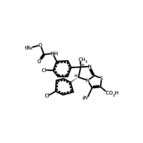 CC(C)C1=C(C(=O)O)SC2=N[C@@](C)(c3ccc(Cl)c(NC(=O)OC(C)(C)C)c3)[C@@H](c3ccc(Cl)cc3)N21